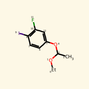 CCOC(C)Oc1ccc(I)c(F)c1